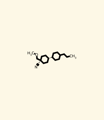 CCCC1CCC([C@H]2CC[C@](C#N)(COC)CC2)CC1